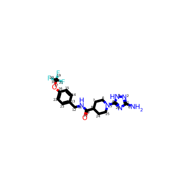 Nc1n[nH]c(N2CCC(C(=O)NCc3ccc(OC(F)(F)F)cc3)CC2)n1